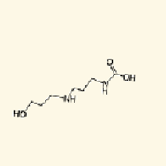 O=C(O)NCCCNCCCO